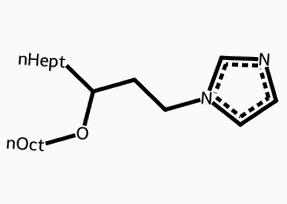 CCCCCCCCOC(CCCCCCC)CCn1ccnc1